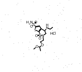 CCNC1CN(CCOC(C)OC)S(=O)(=O)c2sc(S(N)(=O)=O)cc21.Cl